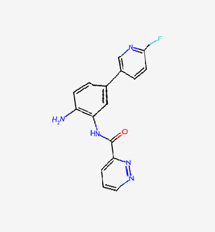 Nc1ccc(-c2ccc(F)nc2)cc1NC(=O)c1cccnn1